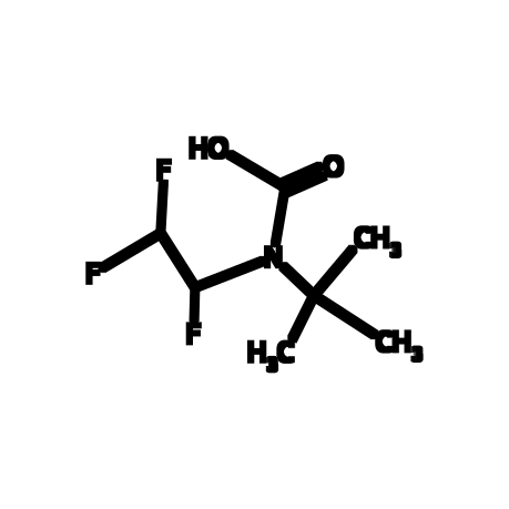 CC(C)(C)N(C(=O)O)C(F)C(F)F